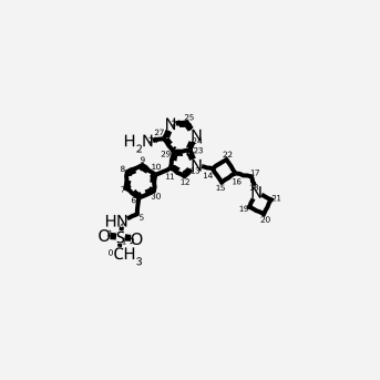 CS(=O)(=O)NCc1cccc(-c2cn(C3CC(CN4CCC4)C3)c3ncnc(N)c23)c1